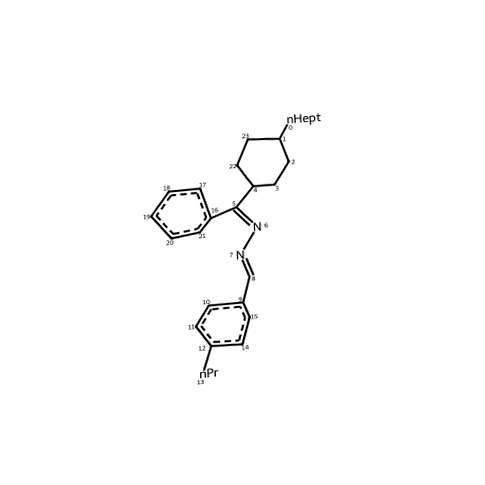 CCCCCCCC1CCC(C(=NN=Cc2ccc(CCC)cc2)c2ccccc2)CC1